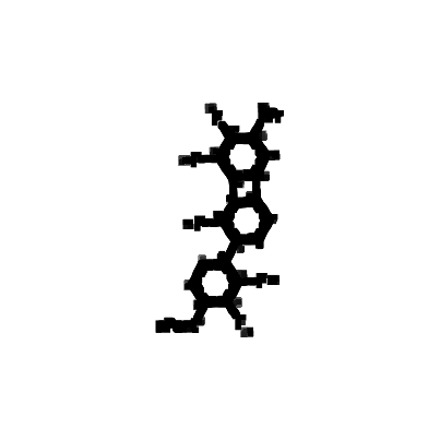 CCCCCc1ccc(-c2ccc3c(c2F)-c2c-3cc(CCC)c(F)c2F)c(F)c1F